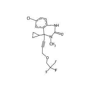 CN1C(=O)Nc2ccc(Cl)cc2C1(C#CCOCC(F)(F)F)C1CC1